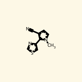 Cn1ccc(C#N)c1-c1cscn1